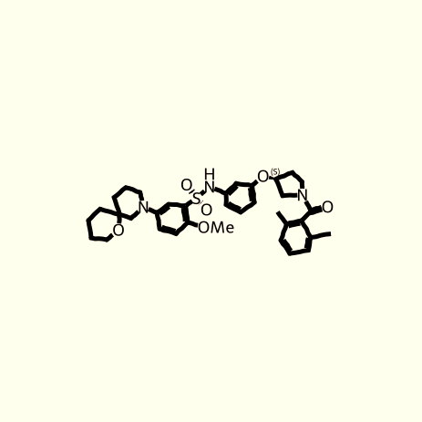 COc1ccc(N2CCCC3(CCCCO3)C2)cc1S(=O)(=O)Nc1cccc(O[C@H]2CCN(C(=O)c3c(C)cccc3C)C2)c1